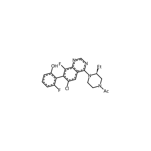 CC[C@H]1CN(C(C)=O)CCN1c1ncnc2c(F)c(-c3c(O)cccc3F)c(Cl)cc12